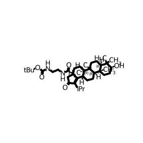 CC(C)C1=C2[C@H]3CC[C@@H]4[C@@]5(C)CC[C@H](O)C(C)(C)[C@@H]5CC[C@@]4(C)[C@]3(C)CC[C@@]2(C(=O)NCCNC(=O)OC(C)(C)C)CC1=O